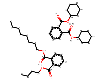 CCCCCCCCOC(=O)c1ccccc1C(=O)OCCCC.O=C(OC1CCCCC1)c1ccccc1C(=O)OC1CCCCC1